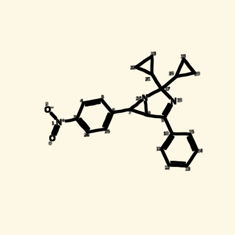 O=[N+]([O-])c1ccc(C2C3C(c4ccccc4)=NC(C4CC4)(C4CC4)N32)cc1